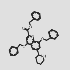 O=C(OCc1ccccc1)c1cc(OCc2ccccc2)c2cc(C3CCCCN3)cc(OCc3ccccc3)c2n1